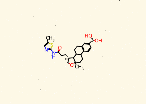 Cc1cnc(NC(=O)CC[C@H]2CO[C@@]3(C)CCC4c5ccc(B(O)O)cc5CCC4C23)s1